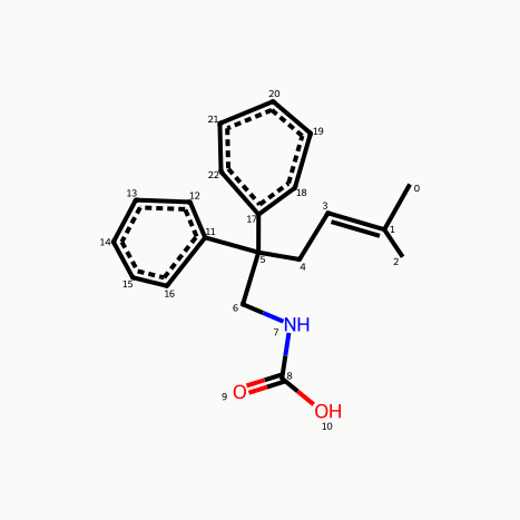 CC(C)=CCC(CNC(=O)O)(c1ccccc1)c1ccccc1